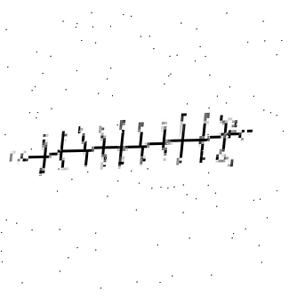 FC(F)(F)C(F)(F)C(F)(F)C(F)(F)C(F)(F)C(F)(F)C(F)(F)C(F)(F)C(F)(F)C(F)(F)[N+](C(F)(F)F)(C(F)(F)F)C(F)(F)F